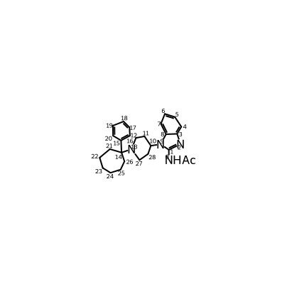 CC(=O)Nc1nc2ccccc2n1C1CCN(C2(c3ccccc3)CCCCCC2)CC1